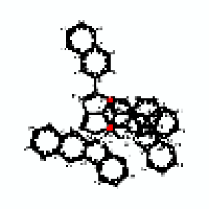 CC1C/C=C(c2ccc3c(oc4ccccc43)c2-n2c3ccccc3c3cc4ccccc4cc32)/N=C(c2ccc3ccccc3c2)\N=C/1c1cccc2c1sc1ccccc12